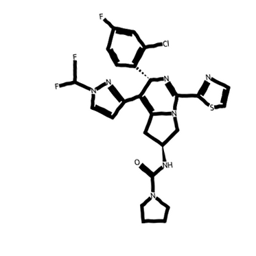 O=C(N[C@H]1CC2=C(c3ccn(C(F)F)n3)[C@H](c3ccc(F)cc3Cl)N=C(c3nccs3)N2C1)N1CCCC1